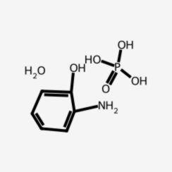 Nc1ccccc1O.O.O=P(O)(O)O